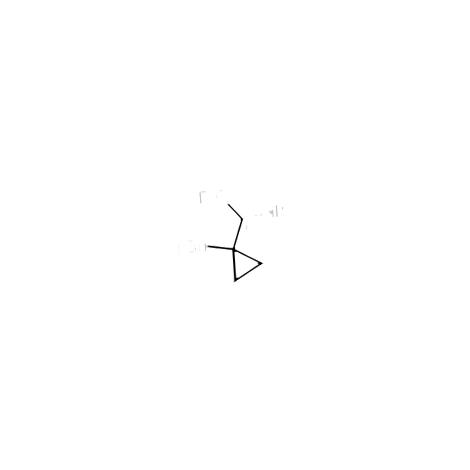 CCCCC1([C@@H](C(C)C)C(F)(F)F)CC1